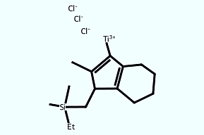 CC[Si](C)(C)CC1C(C)=[C]([Ti+3])C2=C1CCCC2.[Cl-].[Cl-].[Cl-]